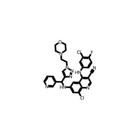 N#Cc1cnc2c(Cl)cc(NC(c3cccnc3)c3cn(CCN4CCOCC4)nn3)cc2c1Nc1ccc(F)c(Cl)c1